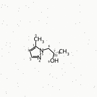 Cc1c[c]nn1C[C@H](C)O